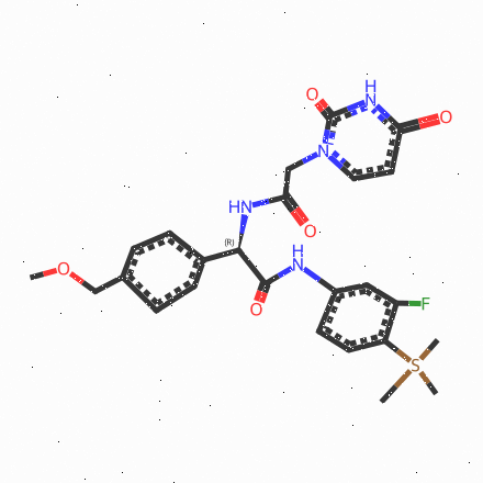 COCc1ccc([C@@H](NC(=O)Cn2ccc(=O)[nH]c2=O)C(=O)Nc2ccc(S(C)(C)C)c(F)c2)cc1